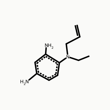 C=CCN(CC)c1ccc(N)cc1N